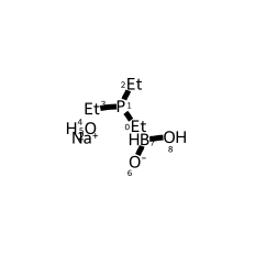 CCP(CC)CC.O.[Na+].[O-]BO